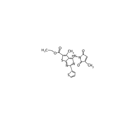 CCOC(=O)c1sc2nc(-c3cccs3)nc(NN3C(=O)C=C(C)C3=O)c2c1C